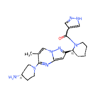 Cc1cn2nc([C@@H]3CCCCN3C(=O)c3cn[nH]c3)cc2nc1N1CC[C@H](N)C1